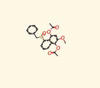 COc1cc(OC(C)=O)c2c([S+]([O-])Cc3ccccc3)cccc2c1OC(C)=O